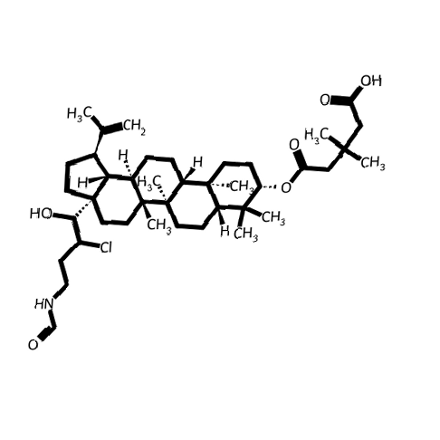 C=C(C)[C@@H]1CC[C@]2(C(O)C(Cl)CCNC=O)CC[C@]3(C)[C@H](CC[C@@H]4[C@@]5(C)CC[C@H](OC(=O)CC(C)(C)CC(=O)O)C(C)(C)[C@@H]5CC[C@]43C)[C@@H]12